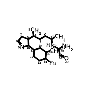 CC(CCC(C)C1CC=NC1C1CCC(F)C(C)C1)NC(N)C=O